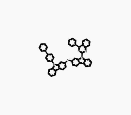 c1ccc(-c2ccc(-n3c4ccccc4c4ccc(Sc5ccc6c7ccccc7n(-c7nc(-c8ccccc8)c8ccccc8n7)c6c5)cc43)cc2)cc1